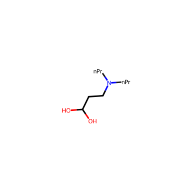 CCCN(CCC)CCC(O)O